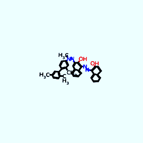 Cc1ccc(C)c(-c2ccc([N+](C)=Nc3cc4ccccc4c(N=Nc4c(O)ccc5ccccc45)c3O)cc2C)c1